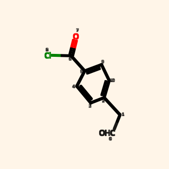 O=CCc1ccc(C(=O)Cl)cc1